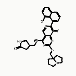 O=C1CC(CNc2nc(OCC34CCCN3CCC4)nc3c(F)c(-c4cccc5cccc(Cl)c45)ncc23)CN1